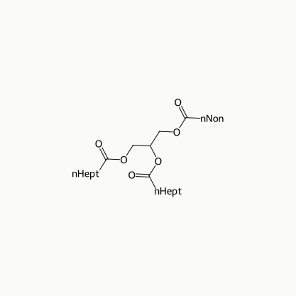 CCCCCCCCCC(=O)OCC(COC(=O)CCCCCCC)OC(=O)CCCCCCC